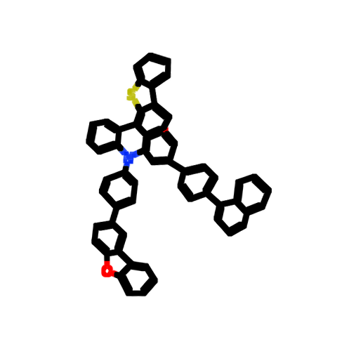 c1cc(-c2ccc(-c3cccc4ccccc34)cc2)cc(N(c2ccc(-c3ccc4oc5ccccc5c4c3)cc2)c2ccccc2-c2cccc3c2sc2ccccc23)c1